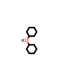 C1CCC(OC2CCCCC2)CC1.[K]